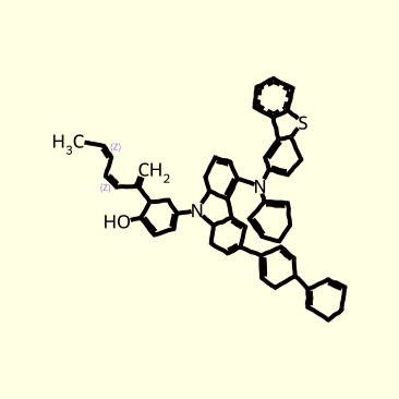 C=C(/C=C\C=C/C)C1CC(N2C3CC=C(C4=CCC(C5=CCCC=C5)C=C4)C=C3C3=C(N(C4=CCCC=C4)C4=CCC5Sc6ccccc6C5=C4)C=CCC32)=CC=C1O